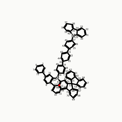 c1ccc(-c2ccc(-c3ccccc3)c(N(c3ccc(-c4ccc(-c5ccc(-n6c7ccccc7c7ccccc76)cc5)cc4)cc3)c3ccc4c(c3)C3(c5ccccc5-c5ccccc53)c3ccccc3-4)c2)cc1